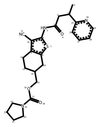 CC(CC(=O)Nc1sc2c(c1C#N)CCC(COC(=O)N1CCCC1)C2)c1ccccn1